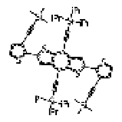 CC(C)[Si](C#Cc1c2cc(-c3sccc3C#C[Si](C)(C)C)sc2c(C#C[Si](C(C)C)(C(C)C)C(C)C)c2cc(-c3sccc3C#C[Si](C)(C)C)sc12)(C(C)C)C(C)C